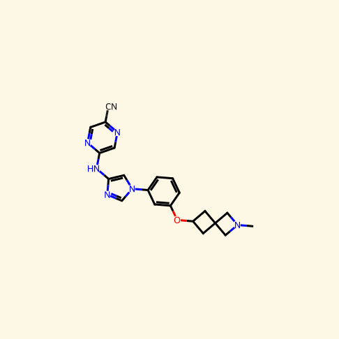 CN1CC2(CC(Oc3cccc(-n4cnc(Nc5cnc(C#N)cn5)c4)c3)C2)C1